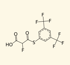 O=C(O)C(F)C(=O)Sc1cc(C(F)(F)F)cc(C(F)(F)F)c1